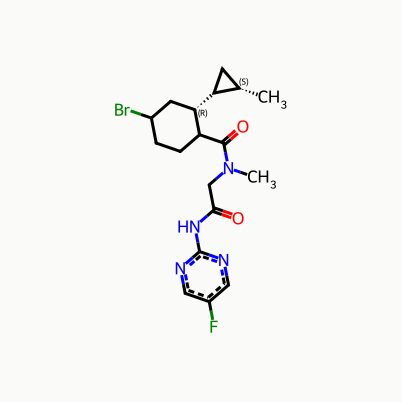 C[C@H]1CC1[C@H]1CC(Br)CCC1C(=O)N(C)CC(=O)Nc1ncc(F)cn1